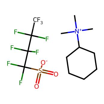 C[N+](C)(C)C1CCCCC1.O=S(=O)([O-])C(F)(F)C(F)(F)C(F)(F)C(F)(F)F